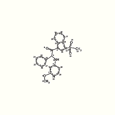 COc1cc(NC(C(=O)c2cn(S(C)(=O)=O)c3ccccc23)c2ccccc2)ccn1